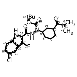 CN(C)C(=O)C1CCCC(N(NC(=O)c2[nH]c3ccc(Cl)cc3c2F)C(=O)OC(C)(C)C)C1